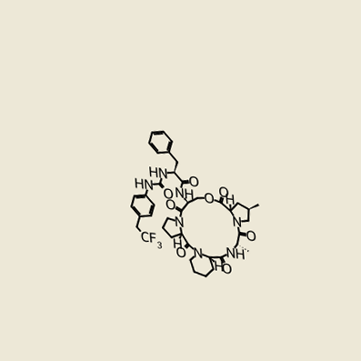 C[C@@H]1C[C@H]2C(=O)OC[C@H](NC(=O)[C@H](Cc3ccccc3)NC(=O)Nc3ccc(CC(F)(F)F)cc3)C(=O)N3CCC[C@H]3C(=O)N3CCCC[C@H]3C(=O)N[C@@H](C)C(=O)N2C1